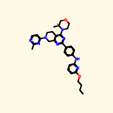 CCCCOc1cccc(Nc2ccc(-c3nc4c(c(N5CCOC[C@@H]5C)n3)CCN(c3ccnc(C)n3)C4)cc2)n1